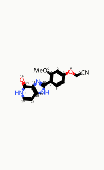 COc1cc(OCC#N)ccc1-c1nc2c(=O)[nH]ccc2[nH]1